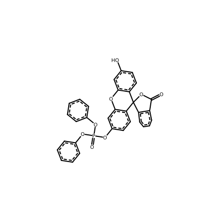 O=C1OC2(c3ccc(O)cc3Oc3cc(OP(=O)(Oc4ccccc4)Oc4ccccc4)ccc32)c2ccccc21